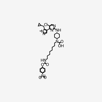 Cn1ncc(-c2nc(N[C@H]3CC[C@H](N(CCCCCCCCNC(=O)Oc4ccc([N+](=O)[O-])cc4)C(=O)O)CC3)ncc2Cl)c1CC1CC1